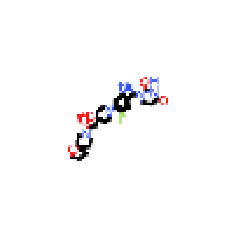 Cn1nc(N2CCC(=O)NC2=O)c2cc(F)c(N3CCC(O)(CC(=O)N4CCC5(CCCO5)CC4)CC3)cc21